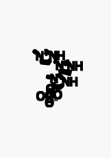 C[n+]1cc[nH]c1.C[n+]1cc[nH]c1.C[n+]1cc[nH]c1.O=P([O-])([O-])[O-]